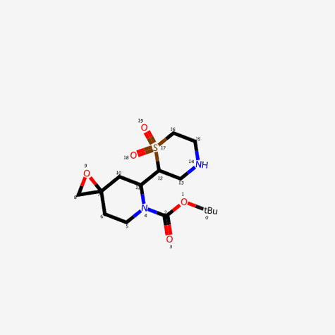 CC(C)(C)OC(=O)N1CCC2(CO2)CC1C1CNCCS1(=O)=O